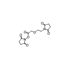 O=C(COCCN1C(=O)CCC1=O)ON1C(=O)CCC1=O